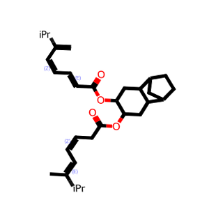 C=C(/C=C\C=C\C(=O)OC1CC2C3CCC(C3)C2CC1OC(=O)C/C=C\C=C(/C)C(C)C)C(C)C